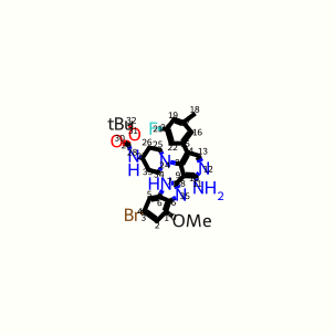 COc1cc(Br)cc2[nH]c(-c3c(N)ncc(-c4cc(C)cc(F)c4)c3N3CCC(NC(=O)OC(C)(C)C)CC3)nc12